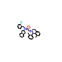 Cc1ccccc1C1c2c(C)cccc2CCN1CC(=O)N(Cc1ccccc1F)C1Cc2ccccc2C1